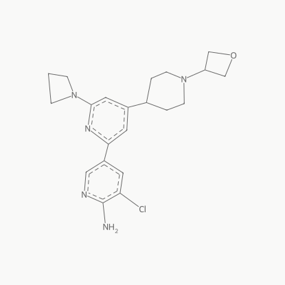 Nc1ncc(-c2cc(C3CCN(C4COC4)CC3)cc(N3CCC3)n2)cc1Cl